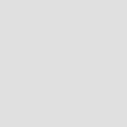 CC(CCCCC1CCC2C3CCC4CC(NCCCNCCCCNCCCN)CCC4(C)C3CCC12C)C(=O)O